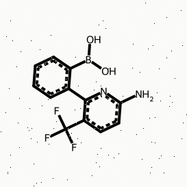 Nc1ccc(C(F)(F)F)c(-c2ccccc2B(O)O)n1